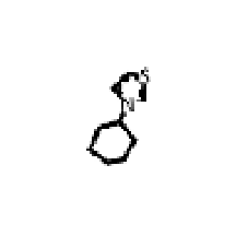 c1c[n+](C2CCCCC2)cs1